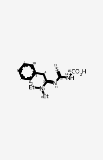 CCN(CC)/C(Cc1ccccc1)=N/C(=S)NC(=O)O